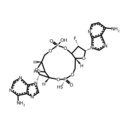 Nc1ccnc2c1ncn2[C@@H]1O[C@@H]2CO[P@](=O)(S)O[C@H]3C(O)[C@@H](COP(=O)(O)OC2[C@@H]1F)O[C@H]3n1cnc2c(N)ncnc21